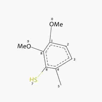 COc1ccc(C)c(S)c1OC